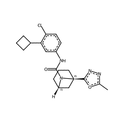 Cc1nnc([C@@]23CCC[C@@H](C2)N3C(=O)Nc2ccc(Cl)c(C3CCC3)c2)o1